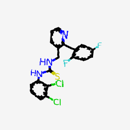 Fc1ccc(F)c(-c2ncccc2CNC(=S)Nc2cccc(Cl)c2Cl)c1